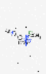 COc1cc(C2CCN(C(C)=O)CC2)ccc1Nc1ncc(C)c(Cl)n1